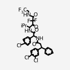 CC(C)C(NC(=O)C(NC(=O)CC(c1ccccc1)c1ccc(Cl)c(Cl)c1)c1ccc(Cl)cc1)C(=O)C(F)(F)C(=O)NCC(F)(F)F